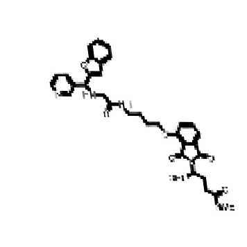 CNC(=O)CCC(C=O)N1C(=O)c2cccc(OCCCCNC(=O)CNC(c3cccnc3)c3cc4ccccc4o3)c2C1=O